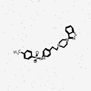 Cc1ccc(S(=O)(=O)Nc2ccc(CCN3CCN(c4nsc5ccccc45)CC3)cc2)cc1